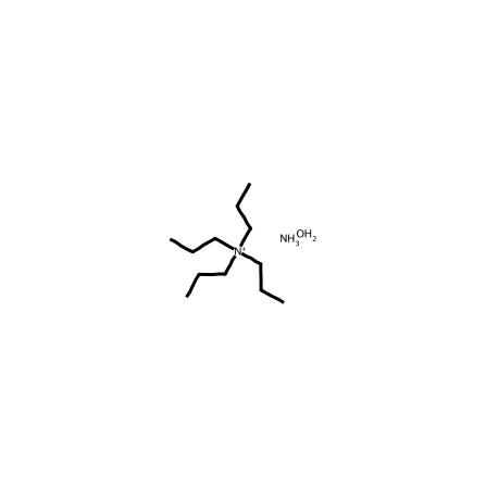 CCC[N+](CCC)(CCC)CCC.N.O